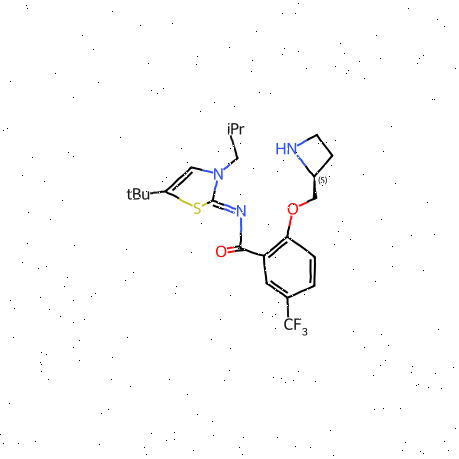 CC(C)Cn1cc(C(C)(C)C)sc1=NC(=O)c1cc(C(F)(F)F)ccc1OC[C@@H]1CCN1